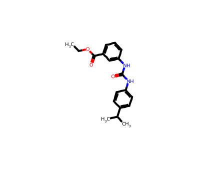 CCOC(=O)c1cccc(NC(=O)Nc2ccc(C(C)C)cc2)c1